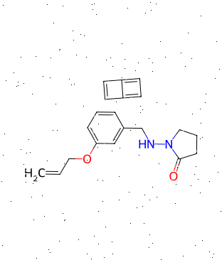 C=CCOc1cccc(CNN2CCCC2=O)c1.c1cc2ccc1-2